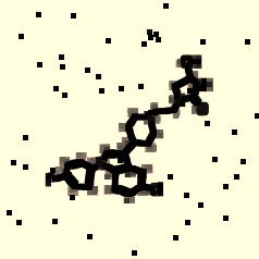 O=C1NC(O)CN1CCN1CCC(c2cn(-c3ccc(F)cc3)c3ccc(Cl)cc23)CC1